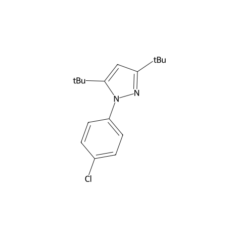 CC(C)(C)c1cc(C(C)(C)C)n(-c2ccc(Cl)cc2)n1